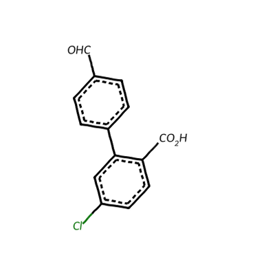 O=Cc1ccc(-c2cc(Cl)ccc2C(=O)O)cc1